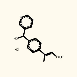 CC(=CC(=O)O)c1ccc(C(O)c2cccnc2)cc1.Cl